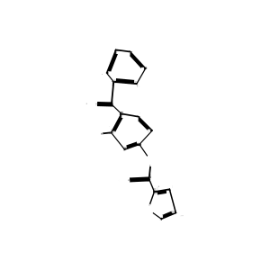 O=C(Oc1ccc(C(=O)c2ccccc2)c(O)c1)c1ccco1